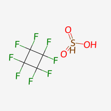 FC1(F)C(F)(F)C(F)(F)C1(F)F.O=[SH](=O)O